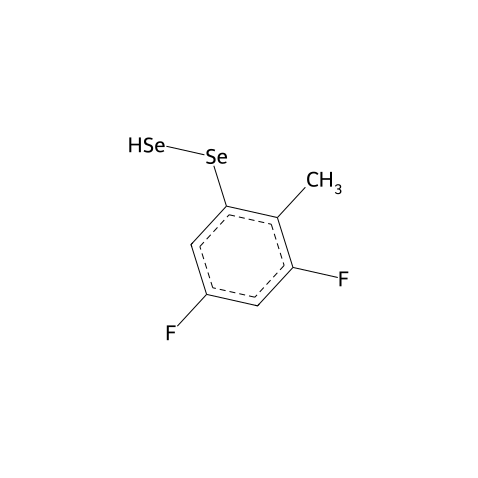 Cc1c(F)cc(F)cc1[Se][SeH]